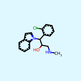 CNCC(O)C(c1ccccc1Cl)n1ccc2ccccc21